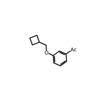 CC(=O)c1cccc(OCC2CCC2)c1